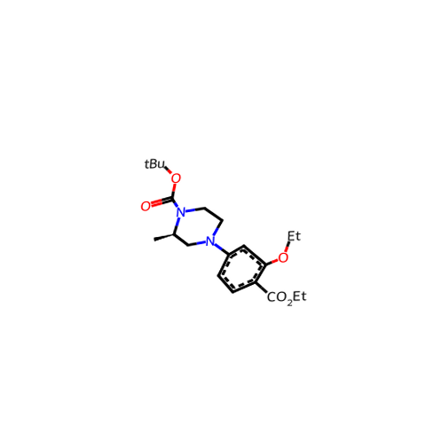 CCOC(=O)c1ccc(N2CCN(C(=O)OC(C)(C)C)[C@H](C)C2)cc1OCC